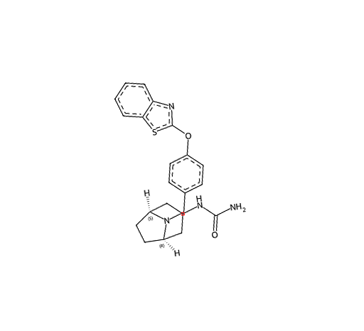 NC(=O)NC1C[C@H]2CC[C@@H](C1)N2Cc1ccc(Oc2nc3ccccc3s2)cc1